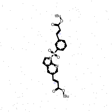 CC(C)(C)OC(=O)/C=C/c1cccc(S(=O)(=O)n2ccc3cc(/C=C/C(=O)OC(C)(C)C)cnc32)c1